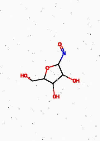 O=NC1OC(CO)C(O)C1O